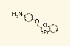 CCCC(COc1ccc(N)cc1)Oc1ccccc1